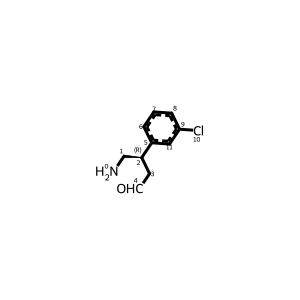 NC[C@H](CC=O)c1cccc(Cl)c1